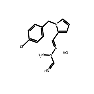 Cl.N=CN(N)N=Cc1cccn1Cc1ccc(Cl)cc1